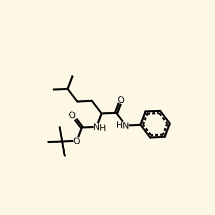 CC(C)CCC(NC(=O)OC(C)(C)C)C(=O)Nc1ccccc1